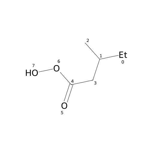 CCC(C)CC(=O)OO